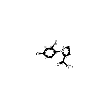 NC(=O)c1ccnn1-c1ccc(Cl)cc1Br